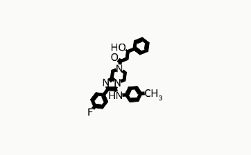 Cc1ccc(Nc2c(-c3ccc(F)cc3)nc3n2CCN(C(=O)C[C@@H](O)c2ccccc2)C3)cc1